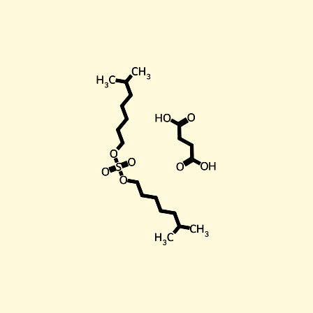 CC(C)CCCCCOS(=O)(=O)OCCCCCC(C)C.O=C(O)CCC(=O)O